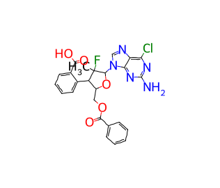 CC1(F)C(c2ccccc2C(=O)O)C(COC(=O)c2ccccc2)OC1n1cnc2c(Cl)nc(N)nc21